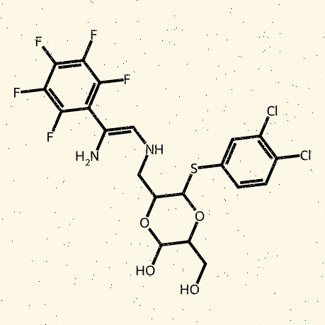 N/C(=C\NCC1OC(O)C(CO)OC1Sc1ccc(Cl)c(Cl)c1)c1c(F)c(F)c(F)c(F)c1F